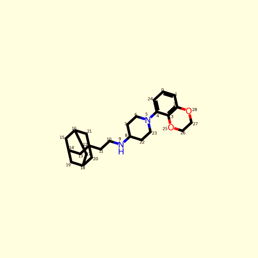 c1cc2c(c(N3CCC(NCCC45CC6CC(CC(C6)C4)C5)CC3)c1)OCCO2